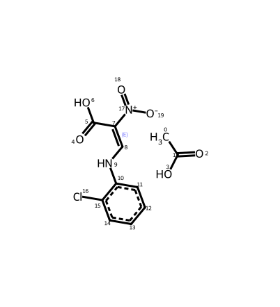 CC(=O)O.O=C(O)/C(=C\Nc1ccccc1Cl)[N+](=O)[O-]